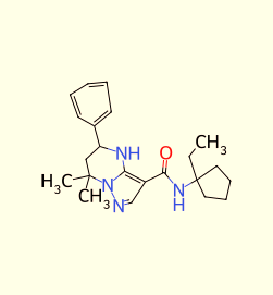 CCC1(NC(=O)c2cnn3c2NC(c2ccccc2)CC3(C)C)CCCC1